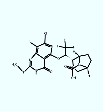 CSc1nc2c(F)c(Cl)nc(OC([C@H]3NC[C@H]4CC[C@@H]3N4C(=O)O)C(F)(F)F)c2c(=O)[nH]1